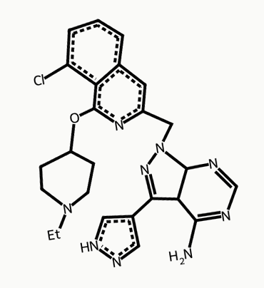 CCN1CCC(Oc2nc(CN3N=C(c4cn[nH]c4)C4C(N)=NC=NC43)cc3cccc(Cl)c23)CC1